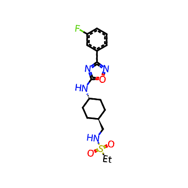 CCS(=O)(=O)NC[C@H]1CC[C@H](Nc2nc(-c3cccc(F)c3)no2)CC1